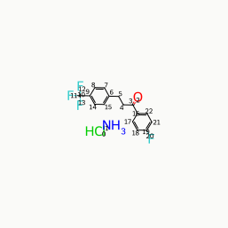 Cl.N.O=C(CCc1ccc(C(F)(F)F)cc1)c1ccc(F)cc1